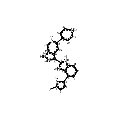 Cc1ccc(-c2cccc3[nH]c(-c4n[nH]c5cnc(-c6ccncc6)cc45)nc23)s1